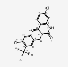 O=c1[nH]c2cc(Cl)ccc2c(=O)n1Cc1ccc(Cl)c(C(F)(F)F)c1